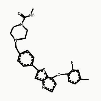 CNC(=O)N1CCN(Cc2ccc(-c3cc4nccc(Oc5ccc(C)cc5F)c4s3)cc2)CC1